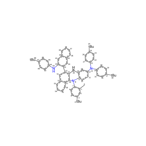 Cc1cc(C(C)(C)C)ccc1N1c2ccc(N(c3ccc(C(C)(C)C)cc3)c3ccc(C(C)(C)C)cc3)cc2Bc2c(-c3cc4ccccc4cc3Nc3ccc(C(C)(C)C)cc3)cc3ccccc3c21